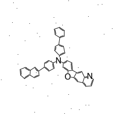 c1ccc(-c2ccc(N(c3ccc(-c4ccc5ccccc5c4)cc3)c3ccc4c(c3)oc3cc5cccnc5cc34)cc2)cc1